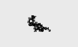 CCN(c1c(C(N)=O)nnc2cc(-c3cc(Br)ccc3OC)ccc12)C1CC1